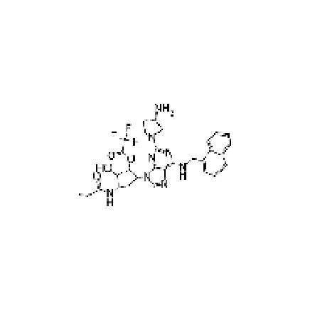 CCC(=O)N[C@H]1C[C@@H](n2cnc3c(NCc4cccc5ccccc45)nc(N4CC[C@@H](N)C4)nc32)[C@H](OC(=O)C(F)(F)F)[C@@H]1O